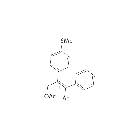 CSc1ccc(/C(COC(C)=O)=C(/C(C)=O)c2ccccc2)cc1